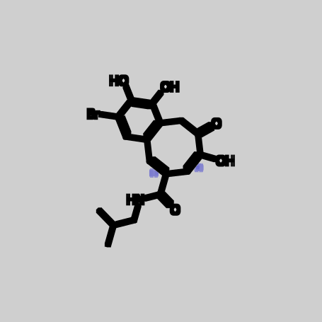 CC(C)CNC(=O)C1=C/c2cc(Br)c(O)c(O)c2CC(=O)/C(O)=C\1